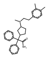 Cc1ccc(CCN(C)C2CCC(C(C(N)=O)(c3ccccc3)c3ccccc3)C2)cc1C